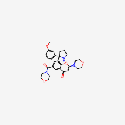 COc1cccc([C@@]2(c3cc(C(=O)N4CCOCC4)cc4c(=O)cc(N5CCOCC5)oc34)CCCN2)c1